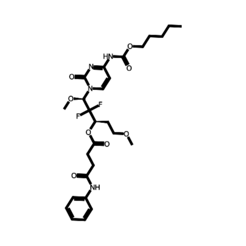 CCCCCOC(=O)Nc1ccn([C@H](OC)C(F)(F)[C@@H](CCOC)OC(=O)CCC(=O)Nc2ccccc2)c(=O)n1